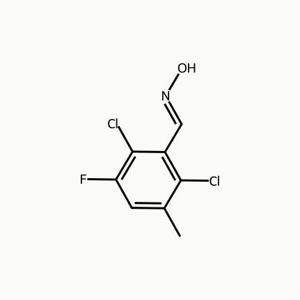 Cc1cc(F)c(Cl)c(/C=N/O)c1Cl